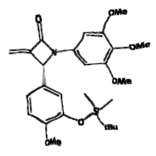 C=C1C(=O)N(c2cc(OC)c(OC)c(OC)c2)[C@@H]1c1ccc(OC)c(O[Si](C)(C)C(C)(C)C)c1